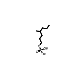 CCCC(C)CCCOP(=O)(O)O